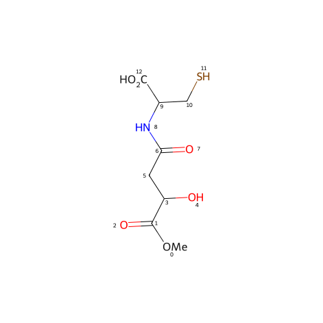 COC(=O)C(O)CC(=O)NC(CS)C(=O)O